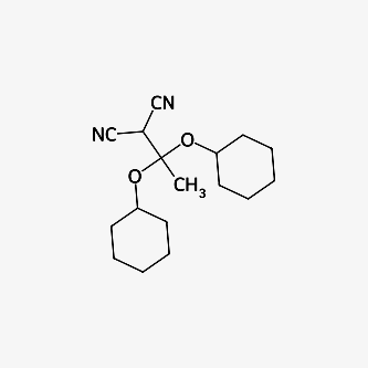 CC(OC1CCCCC1)(OC1CCCCC1)C(C#N)C#N